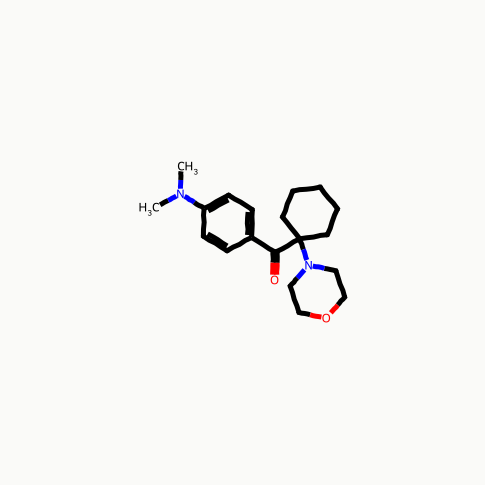 CN(C)c1ccc(C(=O)C2(N3CCOCC3)CCCCC2)cc1